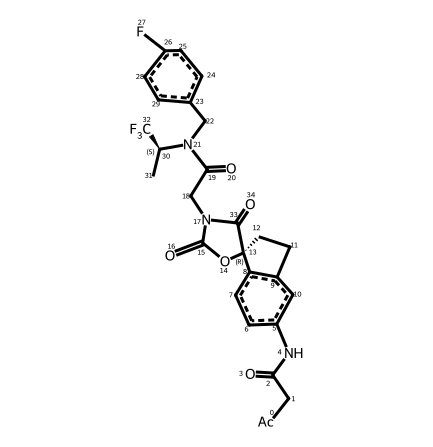 CC(=O)CC(=O)Nc1ccc2c(c1)CC[C@@]21OC(=O)N(CC(=O)N(Cc2ccc(F)cc2)[C@@H](C)C(F)(F)F)C1=O